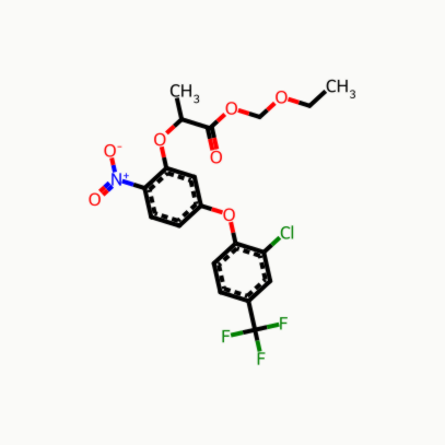 CCOCOC(=O)C(C)Oc1cc(Oc2ccc(C(F)(F)F)cc2Cl)ccc1[N+](=O)[O-]